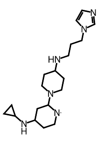 c1cn(CCCNC2CCN(C3CC(NC4CC4)CC[N]3)CC2)cn1